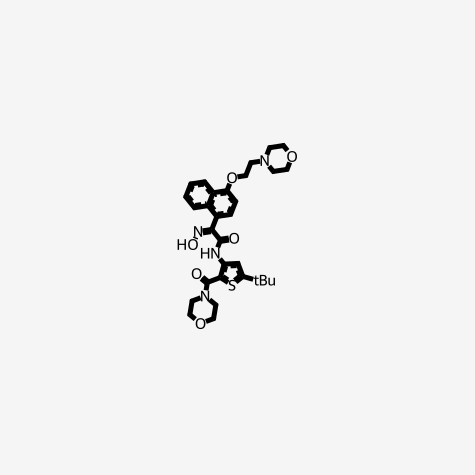 CC(C)(C)c1cc(NC(=O)C(=NO)c2ccc(OCCN3CCOCC3)c3ccccc23)c(C(=O)N2CCOCC2)s1